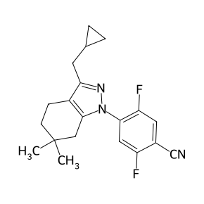 CC1(C)CCc2c(CC3CC3)nn(-c3cc(F)c(C#N)cc3F)c2C1